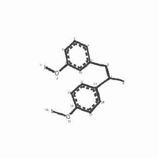 CC(Cc1cccc(OI)c1)c1ccc(OI)cc1